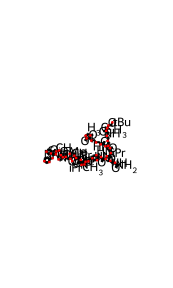 CC[C@H](C)[C@@H]([C@@H](CC(=O)N1CCCC1[C@H](OC)[C@@H](C)C(=O)N[C@H](Cc1ccccc1)c1nccs1)OC)N(C)C(=O)[C@@H](NC(=O)[C@H](C(C)C)N(C)C(=O)OCc1ccc(NC(=O)[C@H](CCCNC(N)=O)NC(=O)[C@@H](NC(=O)C(CCCCNC(=O)C(C)(C)CCOC(C)(C)C)NC(=O)CCCCCN2C(=O)C=CC2=O)C(C)C)cc1)C(C)C